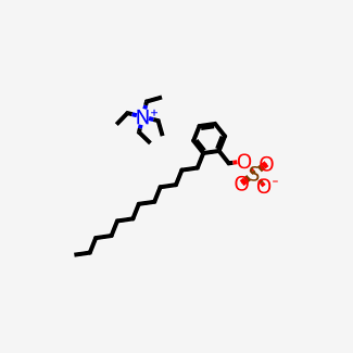 CCCCCCCCCCCCc1ccccc1COS(=O)(=O)[O-].CC[N+](CC)(CC)CC